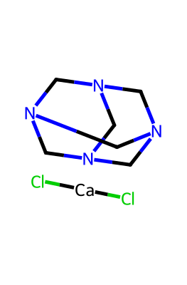 C1N2CN3CN1CN(C2)C3.[Cl][Ca][Cl]